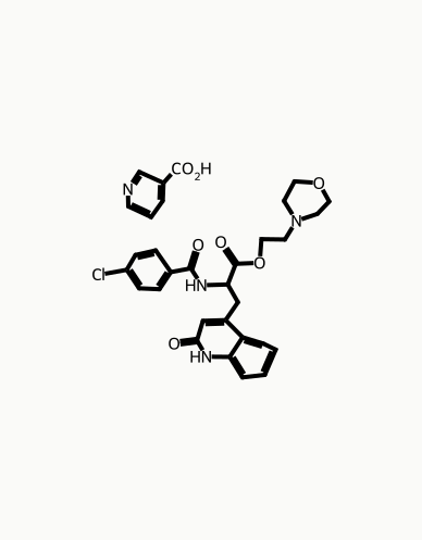 O=C(NC(Cc1cc(=O)[nH]c2ccccc12)C(=O)OCCN1CCOCC1)c1ccc(Cl)cc1.O=C(O)c1cccnc1